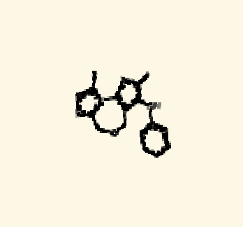 Cc1sc2c(c1Nc1ccccc1)COCc1nnc(C)n1-2